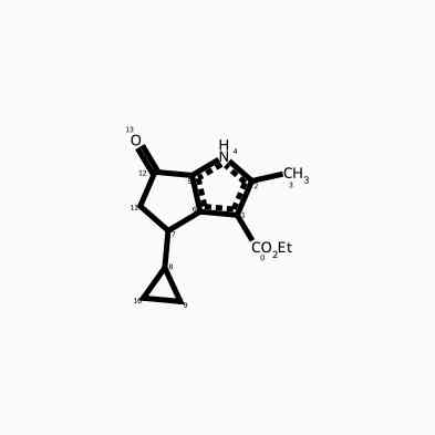 CCOC(=O)c1c(C)[nH]c2c1C(C1CC1)CC2=O